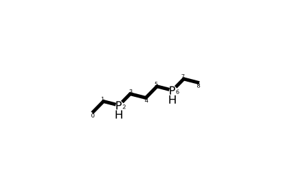 CCPCCCPCC